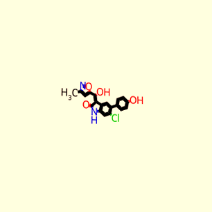 Cc1cc(C(O)=C2C(=O)Nc3cc(Cl)c(-c4ccc(O)cc4)cc32)on1